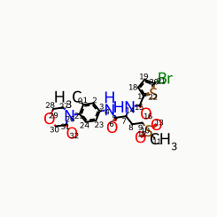 Cc1cc(NC(=O)C(CCS(C)(=O)=O)NC(=O)c2ccc(Br)s2)ccc1N1CCOCC1=O